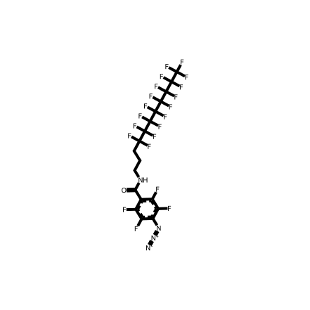 [N-]=[N+]=Nc1c(F)c(F)c(C(=O)NCCCC(F)(F)C(F)(F)C(F)(F)C(F)(F)C(F)(F)C(F)(F)C(F)(F)C(F)(F)F)c(F)c1F